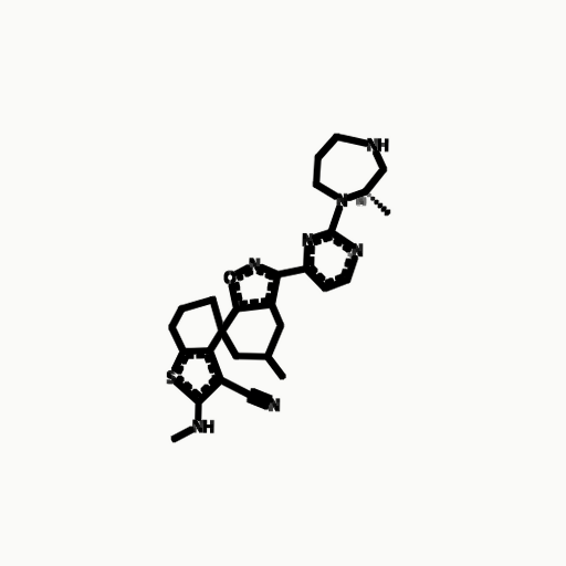 CNc1sc2c(c1C#N)C1(CCC2)CC(C)Cc2c(-c3ccnc(N4CCCNC[C@@H]4C)n3)noc21